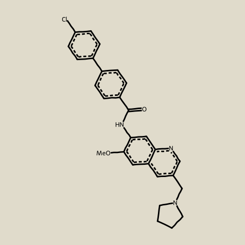 COc1cc2cc(CN3CCCC3)cnc2cc1NC(=O)c1ccc(-c2ccc(Cl)cc2)cc1